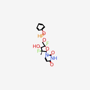 C[C@]1(F)[C@H](n2ccc(=O)[nH]c2=O)O[C@](F)(COPOc2ccccc2)[C@H]1O